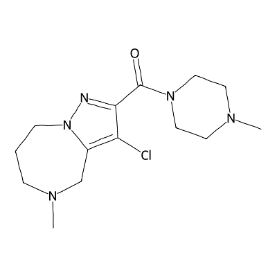 CN1CCN(C(=O)c2nn3c(c2Cl)CN(C)CCC3)CC1